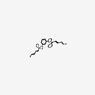 CC=CC=CC(=O)Oc1cccc(OC(=O)C=CC=CC)c1